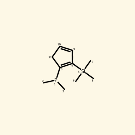 CP(C)C1=C([Si](C)(C)C)C=CC1